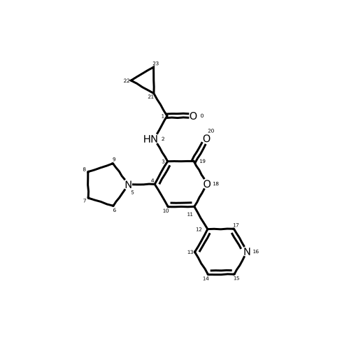 O=C(Nc1c(N2CCCC2)cc(-c2cccnc2)oc1=O)C1CC1